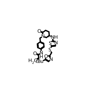 C=CC(=O)Nc1ccc(CN2C[C@H](Nc3ncc(SCc4ncc(C(C)(C)C)o4)s3)CCC2=O)cc1